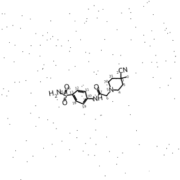 CC1(C#N)CCN(CC(=O)Nc2ccc(S(N)(=O)=O)cc2)CC1